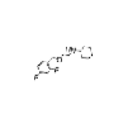 Fc1ccc(COCCNC2CCCCC2)c(F)c1